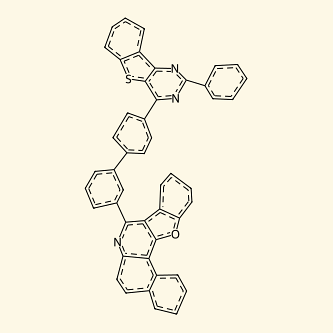 c1ccc(-c2nc(-c3ccc(-c4cccc(-c5nc6ccc7ccccc7c6c6oc7ccccc7c56)c4)cc3)c3sc4ccccc4c3n2)cc1